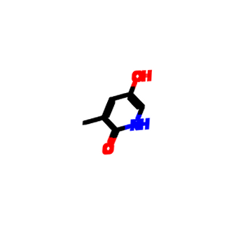 Cc1cc(O)c[nH]c1=O